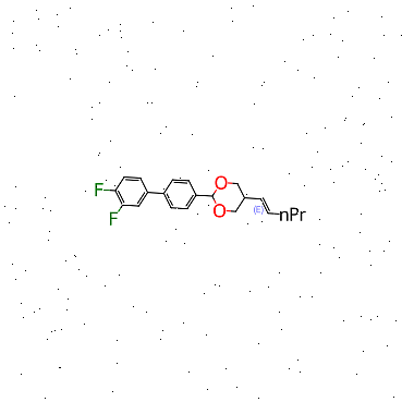 CCC/C=C/C1COC(c2ccc(-c3ccc(F)c(F)c3)cc2)OC1